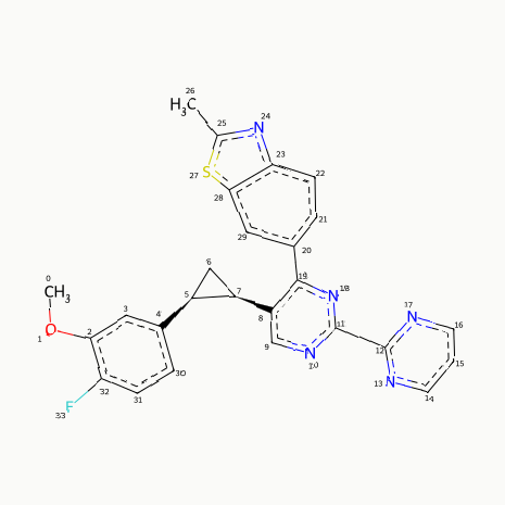 COc1cc([C@H]2C[C@H]2c2cnc(-c3ncccn3)nc2-c2ccc3nc(C)sc3c2)ccc1F